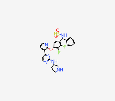 O=[SH](=O)N[C@@H](c1ccccc1)c1ccc(Oc2ncccc2-c2ccnc(N[C@H]3CCCNC3)n2)c(F)c1F